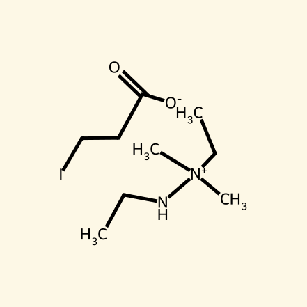 CCN[N+](C)(C)CC.O=C([O-])CCI